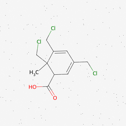 CC1(CCl)C(CCl)=CC(CCl)=CC1C(=O)O